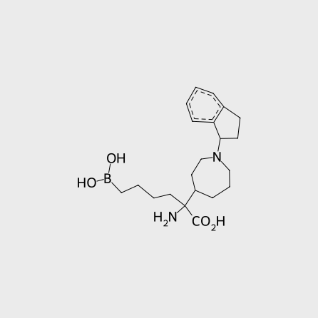 NC(CCCCB(O)O)(C(=O)O)C1CCCN(C2CCc3ccccc32)CC1